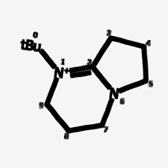 CC(C)(C)[N+]1=C2CCCN2CCC1